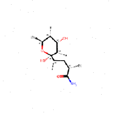 CC[C@@H](C[C@H](C)[C@@]1(O)O[C@@H](C(C)C)[C@H](C)[C@H](O)[C@@H]1C)C(N)=O